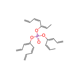 C=C/C=C\C(=C/C)OP(=O)(OC(/C=C\C)=C/C=C)OC(/C=C\C=C)=C/C=C